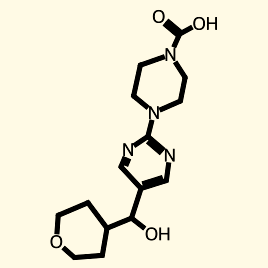 O=C(O)N1CCN(c2ncc(C(O)C3CCOCC3)cn2)CC1